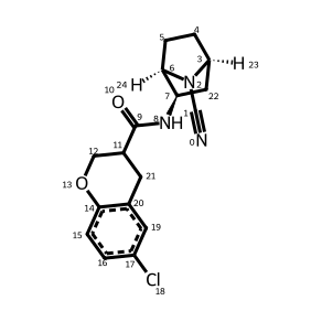 N#CN1[C@H]2CC[C@@H]1[C@H](NC(=O)C1COc3ccc(Cl)cc3C1)C2